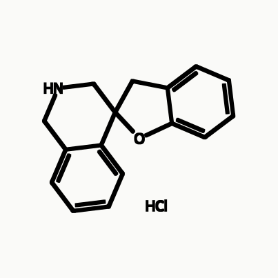 Cl.c1ccc2c(c1)CC1(CNCc3ccccc31)O2